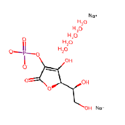 O.O.O.O.O.O=C1O[C@H]([C@@H](O)CO)C(O)=C1OP(=O)([O-])[O-].[Na+].[Na+]